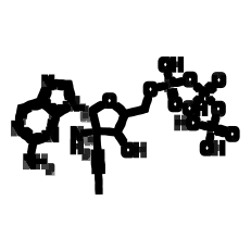 CC#C[C@@]1(N)C(O)C(COP(=O)(O)OP(=O)(O)OP(=O)(O)O)O[C@H]1n1cnc2cnc(N)nc21